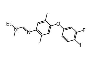 CCN(C)C=Nc1cc(C)c(Oc2ccc(I)c(F)c2)cc1C